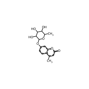 Cc1cc(=O)oc2cc(OC3OC(C)C(O)C(O)C3O)ccc12